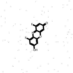 O=c1cc2oc3cc(O)cc(F)c3nc-2c(F)c1